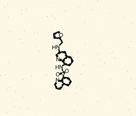 O=S(=O)(Nc1cccc2cc(NCc3ccco3)cnc12)c1cccc2cccnc12